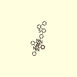 c1ccc(-c2nc(-c3ccccc3)nc(-c3ccccc3-c3nc(-c4ccccc4)nc(-c4ccc(-c5cccc6c5sc5cccc(-c7ccccc7)c56)cc4)n3)n2)cc1